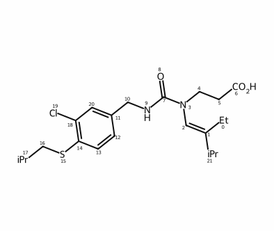 CC/C(=C\N(CCC(=O)O)C(=O)NCc1ccc(SCC(C)C)c(Cl)c1)C(C)C